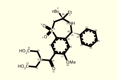 CCCC[C@]1(CC)CS(=O)(=O)c2cc(C(=O)N(CC(=O)O)CC(=O)O)c(OC)cc2[C@@H](c2ccccc2)N1